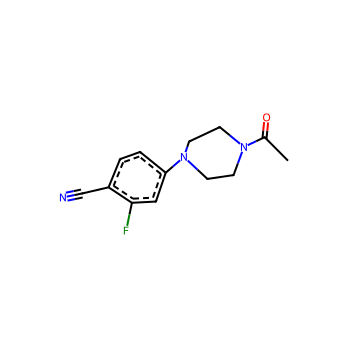 CC(=O)N1CCN(c2ccc(C#N)c(F)c2)CC1